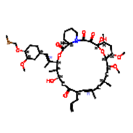 C=CC[C@@H]1/C=C(\C)C[C@H](C)C[C@H](OC)[C@H]2O[C@@](O)(C(=O)C(=O)N3CCCC[C@H]3C(=O)O[C@H](/C(C)=C/[C@@H]3CC[C@@H](OCSC)[C@H](OC)C3)[C@H](C)[C@@H](O)CC1=O)[C@H](C)C[C@@H]2OC